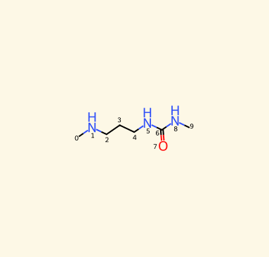 CNCCCNC(=O)NC